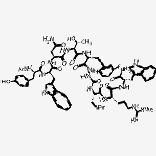 CNC(=N)NCCC[C@H](NC(=O)[C@H](CC(C)C)NC(=O)NNC(=O)[C@H](Cc1cccc(F)c1)NC(=O)C(NC(=O)[C@H](CC(N)=O)NC(=O)[C@@H](Cc1c[nH]c2ccccc12)NC(=O)[C@@H](Cc1ccc(O)cc1)NC(C)=O)[C@@H](C)O)C(=O)N[C@@H](Cc1c[nH]c2ccccc12)C(N)=O